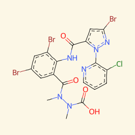 CN(C(=O)O)N(C)C(=O)c1cc(Br)cc(Br)c1NC(=O)c1cc(Br)nn1-c1ncccc1Cl